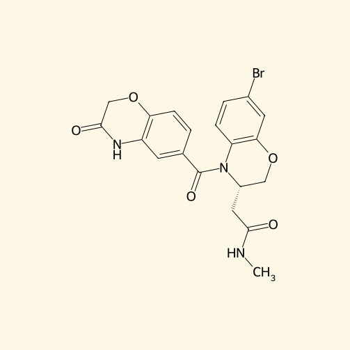 CNC(=O)C[C@H]1COc2cc(Br)ccc2N1C(=O)c1ccc2c(c1)NC(=O)CO2